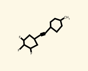 CC1CCC(C#CC2CC(F)C(F)C(F)C2)CC1